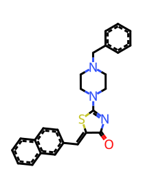 O=C1N=C(N2CCN(Cc3ccccc3)CC2)S/C1=C\c1ccc2ccccc2c1